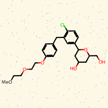 COCCOCCOc1ccc(Cc2cc(C3CC(O)CC(CO)O3)ccc2Cl)cc1